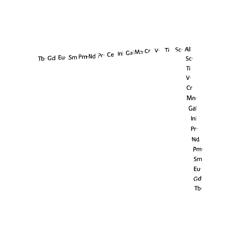 [Al].[Ce].[Cr].[Cr].[Eu].[Eu].[Ga].[Ga].[Gd].[Gd].[In].[In].[Mn].[Mn].[Nd].[Nd].[Pm].[Pm].[Pr].[Pr].[Sc].[Sc].[Sm].[Sm].[Tb].[Tb].[Ti].[Ti].[V].[V]